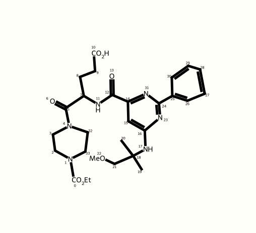 CCOC(=O)N1CCN(C(=O)C(CCC(=O)O)NC(=O)c2cc(NC(C)(C)COC)nc(-c3ccccc3)n2)CC1